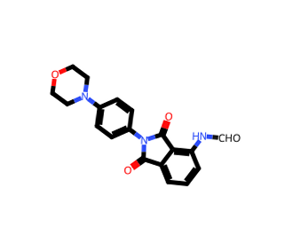 O=CNc1cccc2c1C(=O)N(c1ccc(N3CCOCC3)cc1)C2=O